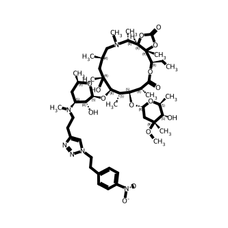 CC[C@H]1OC(=O)[C@H](C)[C@@H](O[C@H]2C[C@@](C)(OC)[C@@H](O)[C@H](C)O2)[C@H](C)[C@@H](O[C@@H]2O[C@H](C)C[C@H](N(C)CCc3cn(CCc4ccc([N+](=O)[O-])cc4)nn3)[C@H]2O)[C@](C)(O)C[C@@H](C)CN(C)[C@H](C)[C@H]2OC(=O)O[C@@]21C